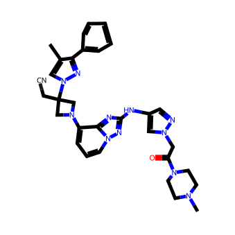 Cc1cn(C2(CC#N)CN(c3cccn4nc(Nc5cnn(CC(=O)N6CCN(C)CC6)c5)nc34)C2)nc1-c1ccccc1